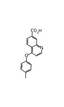 Cc1ccc(Oc2ccnc3cc(C(=O)O)ccc23)cc1